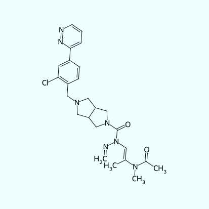 C=NN(/C=C(\C)N(C)C(C)=O)C(=O)N1CC2CN(Cc3ccc(-c4cccnn4)cc3Cl)CC2C1